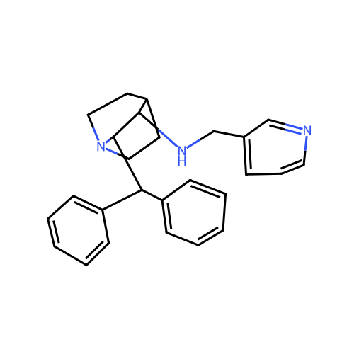 c1ccc(C(c2ccccc2)C2C(NCc3cccnc3)C3CCN2CC3)cc1